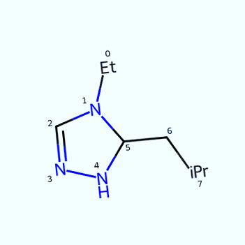 CCN1C=NNC1CC(C)C